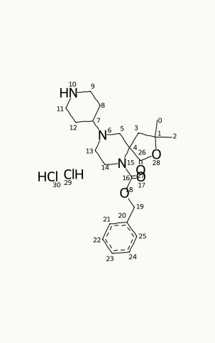 CC1(C)CC2(CN(C3CCNCC3)CCN2C(=O)OCc2ccccc2)C(=O)O1.Cl.Cl